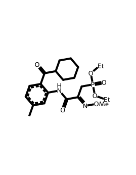 CCOP(=O)(C/C(=N\OC)C(=O)Nc1cc(C)ccc1C(=O)C1CCCCC1)OCC